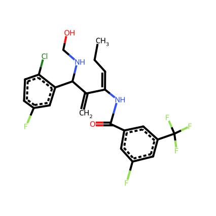 C=C(/C(=C\CC)NC(=O)c1cc(F)cc(C(F)(F)F)c1)C(NCO)c1cc(F)ccc1Cl